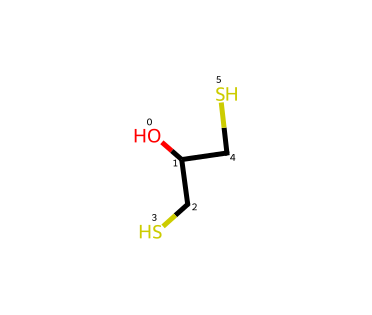 OC(CS)CS